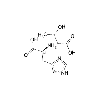 CC(O)CC(=O)O.N[C@@H](Cc1c[nH]cn1)C(=O)O